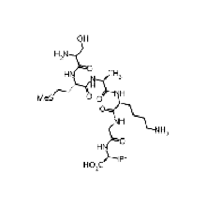 CSCC[C@H](NC(=O)[C@@H](N)CO)C(=O)N[C@@H](C)C(=O)N[C@@H](CCCCN)C(=O)NCC(=O)N[C@H](C(=O)O)C(C)C